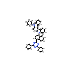 c1ccc(-c2nc(-c3ccccc3)nc(-c3ccc(-n4c5ccccc5c5c6c7ccccc7n(-c7ccccc7)c6ccc54)c4ccccc34)n2)cc1